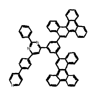 c1ccc(-c2nc(-c3ccc(-c4ccncc4)cc3)cc(-c3cc(-c4cc5c6ccccc6c6ccccc6c5c5ccccc45)cc(-c4cc5c6ccccc6c6ccccc6c5c5ccccc45)c3)n2)cc1